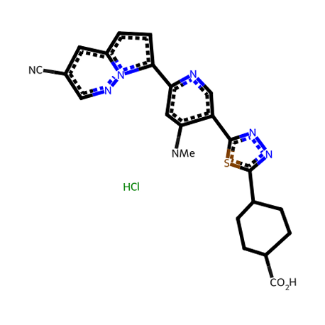 CNc1cc(-c2ccc3cc(C#N)cnn23)ncc1-c1nnc(C2CCC(C(=O)O)CC2)s1.Cl